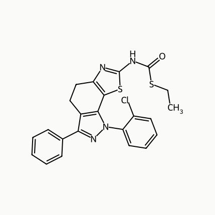 CCSC(=O)Nc1nc2c(s1)-c1c(c(-c3ccccc3)nn1-c1ccccc1Cl)CC2